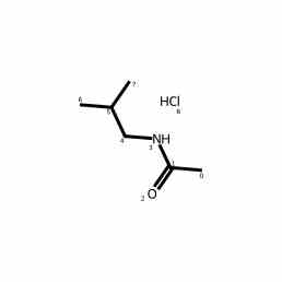 CC(=O)NCC(C)C.Cl